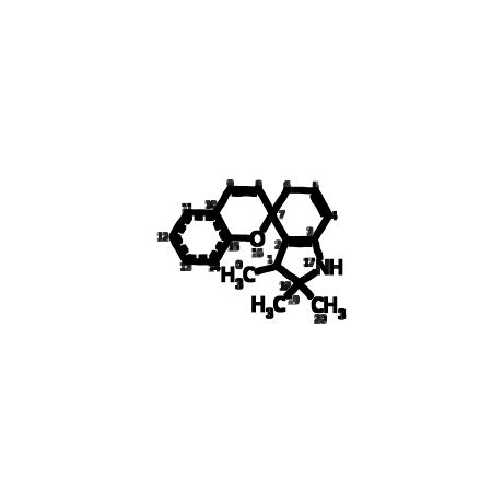 CC1C2=C(C=CCC23C=Cc2ccccc2O3)NC1(C)C